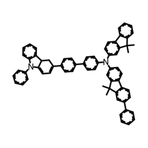 CC1(C)c2ccccc2-c2ccc(N(c3ccc(-c4ccc(C5=CC=C6C(C5)c5ccccc5N6c5ccccc5)cc4)cc3)c3ccc4c(c3)C(C)(C)c3cc(-c5ccccc5)ccc3-4)cc21